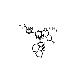 C[C@H](Oc1cc(-c2ccn(C)n2)nc(-c2noc3c2CCC[C@@]32CCCCC2=O)n1)[C@@H]1C[C@H](F)CN1C